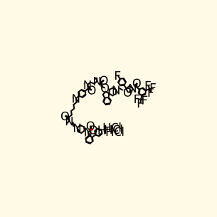 CN(CCN1CCC(N(C(=O)O)c2ccccc2-c2ccccc2)CC1)C(=O)CCCCCN(C)c1ccc(C(=O)N(C)CCN(C)C(=O)CO[C@H]2Cc3ccccc3C23CCN(CC[C@]2(c4ccc(F)cc4)CN(C(=O)c4cc(C(F)(F)F)cc(C(F)(F)F)c4)CO2)CC3)cc1.Cl.Cl.Cl